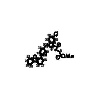 COC(=O)CCC(=O)c1cn(Cc2ccc(-c3cccc4c3oc3ccccc34)nc2)c2ccc(Cl)cc12